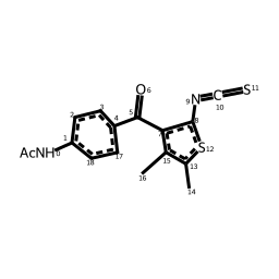 CC(=O)Nc1ccc(C(=O)c2c(N=C=S)sc(C)c2C)cc1